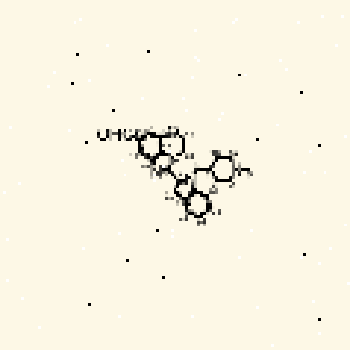 CN1CCC(Cn2c(-c3nc4cc(C=O)cc5c4n3CCO5)cc3ccccc32)CC1